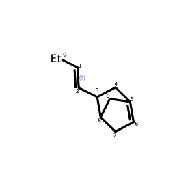 CC/C=C/C1CC2=CCC1C2